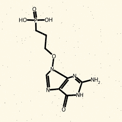 Nc1nc2c(ncn2OCCCP(=O)(O)O)c(=O)[nH]1